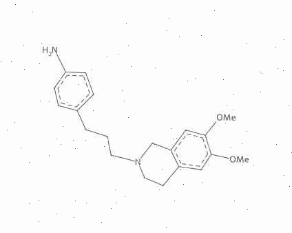 COc1cc2c(cc1OC)CN(CCCc1ccc(N)cc1)CC2